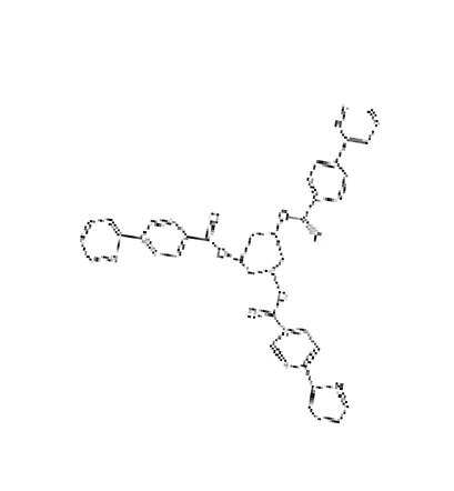 O=C(OC1CC(OC(=O)c2ccc(-c3ccccn3)cc2)CC(OC(=O)c2ccc(-c3ccccn3)cc2)C1)c1ccc(-c2ccccn2)cc1